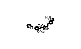 COc1cc(OCc2ccccn2)cc(OC)c1/C=C/c1cc(/C=C/c2ccc3ccn(C)c3c2)[nH]n1